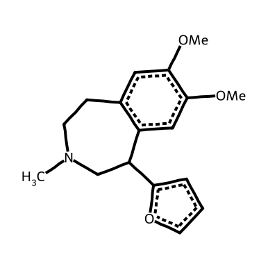 COc1cc2c(cc1OC)C(c1ccco1)CN(C)CC2